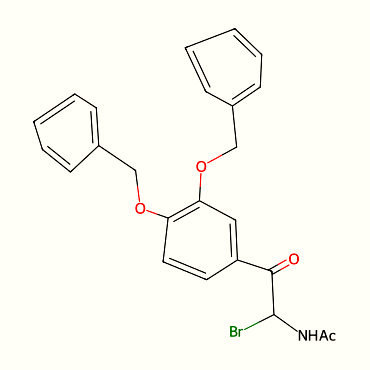 CC(=O)NC(Br)C(=O)c1ccc(OCc2ccccc2)c(OCc2ccccc2)c1